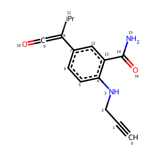 C#CCNc1ccc(C(=C=O)C(C)C)cc1C(N)=O